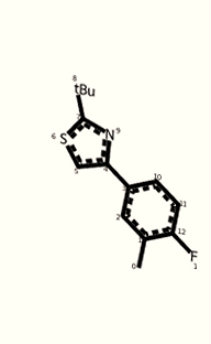 Cc1cc(-c2csc(C(C)(C)C)n2)ccc1F